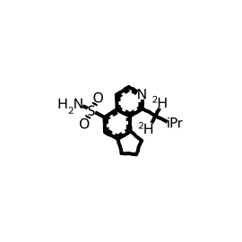 [2H]C([2H])(c1nccc2c(S(N)(=O)=O)cc3c(c12)CCC3)C(C)C